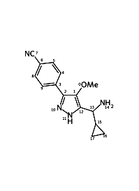 COc1c(-c2ccc(C#N)cc2)n[nH]c1C(N)C1CC1